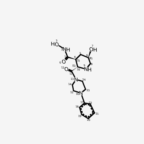 O=C(NO)[C@H]1C[C@@H](O)CN[C@@H]1C(=O)N1CCN(c2ccccc2)CC1